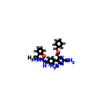 CC(NC(=O)Nc1ccc(-c2c(N)nc(N)nc2COCc2ccccc2)cc1)c1ccccc1